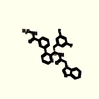 CNC(=O)c1cccc(-c2cccnc2[C@H](Cc2cc(F)cc(F)c2)NC(=O)Cn2cnc3ccccc32)c1